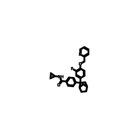 O=C(NC1CC1)c1ccc(C2(c3ccc(OCc4ccccn4)c(F)c3)CC3CCC2C3)cc1